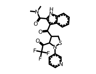 CN(C)C(=O)c1[nH]c2ccccc2c1C(=O)C1CSN(c2cccnc2)C1C(=O)C(F)(F)F